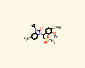 CCOc1cc(C(CS(C)(=O)=O)n2c(=O)n(C3CC3)c3cc(C(F)(F)F)ccc32)ccc1OC